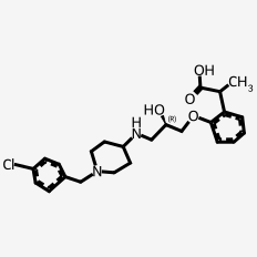 CC(C(=O)O)c1ccccc1OC[C@H](O)CNC1CCN(Cc2ccc(Cl)cc2)CC1